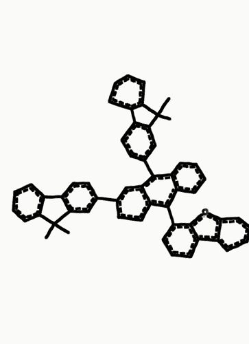 CC1(C)c2ccccc2-c2ccc(-c3ccc4c(-c5cccc6c5oc5ccccc56)c5ccccc5c(-c5ccc6c(c5)C(C)(C)c5ccccc5-6)c4c3)cc21